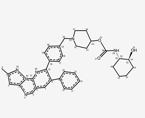 Cc1cc2ncc3cc(-c4ccccc4)c(-c4ccc(CN5CCC(OC(=O)N[C@H]6CCCC[C@@H]6O)CC5)cc4)nc3n2n1